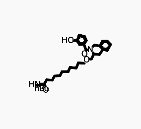 CCCCNC(=O)CCCCCCCCCCOCC1Cc2ccccc2CN1C(=O)c1cccc(O)c1